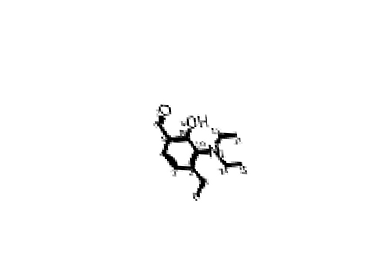 CCc1ccc(C=O)c(O)c1N(CC)CC